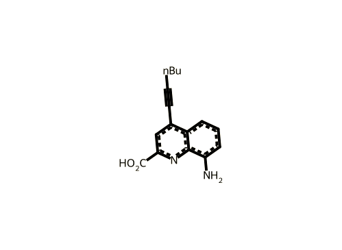 CCCCC#Cc1cc(C(=O)O)nc2c(N)cccc12